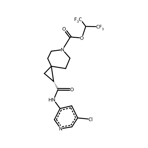 O=C(Nc1cncc(Cl)c1)[C@@H]1CC12CCN(C(=O)OC(C(F)(F)F)C(F)(F)F)CC2